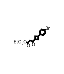 CCOC(=O)C(=O)CC(=O)C1CC(c2ccc(Br)cc2)C1